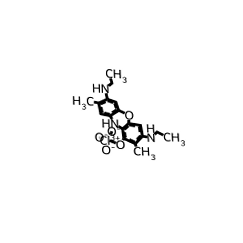 CCNc1cc2c(cc1C)Nc1c(cc(NCC)c(C)c1O[Cl+3]([O-])([O-])[O-])O2